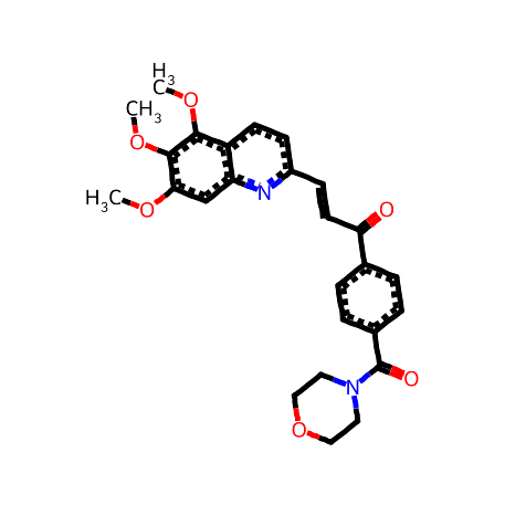 COc1cc2nc(C=CC(=O)c3ccc(C(=O)N4CCOCC4)cc3)ccc2c(OC)c1OC